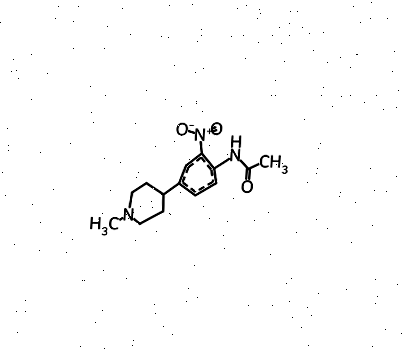 CC(=O)Nc1ccc(C2CCN(C)CC2)cc1[N+](=O)[O-]